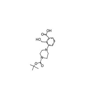 CC(C)(C)OC(=O)N1CCN(c2cccc(C(=O)O)c2CO)CC1